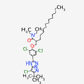 CCCCCCCCCCCCCC(COc1c(Cl)cc(-c2nn3nc(C(C)(C)C)c(Cl)c3[nH]2)cc1Cl)C(=O)N(CC)CC